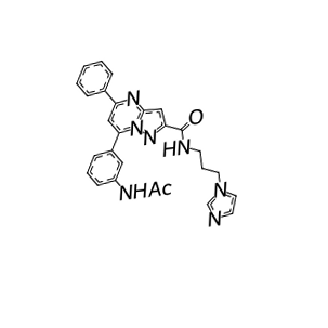 CC(=O)Nc1cccc(-c2cc(-c3ccccc3)nc3cc(C(=O)NCCCn4ccnc4)nn23)c1